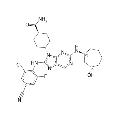 N#Cc1cc(F)c(Nc2nc3cnc(N[C@H]4CCCC[C@H](O)C4)nc3n2[C@H]2CC[C@H](C(N)=O)CC2)c(Cl)c1